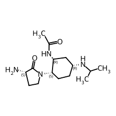 CC(=O)N[C@@H]1C[C@H](NC(C)C)CC[C@@H]1N1CC[C@H](N)C1=O